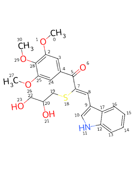 COc1cc(C(=O)/C(=C/c2c[nH]c3ccccc23)SCC(O)CO)cc(OC)c1OC